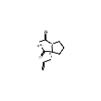 C=CC[C@@]1(C(=O)O)CCCN1C(C)=O